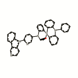 c1ccc(N2c3ccccc3[Si]3(c4ccccc42)c2ccccc2N(c2ccc(-n4c5ccccc5c5cnccc54)nc2)c2ccccc23)cc1